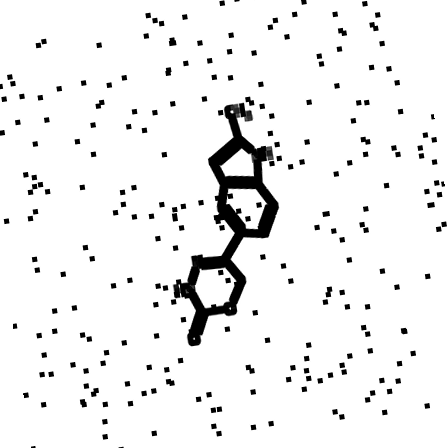 Cc1cc2cc(C3=NNC(=O)OC3)ccc2[nH]1